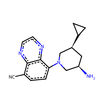 N#Cc1ccc(N2C[C@H](N)C[C@H](C3CC3)C2)c2nccnc12